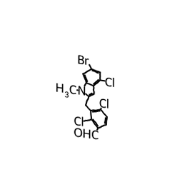 Cn1c(Cc2c(Cl)ccc(C=O)c2Cl)cc2c(Cl)cc(Br)cc21